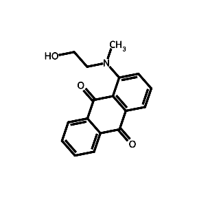 CN(CCO)c1cccc2c1C(=O)c1ccccc1C2=O